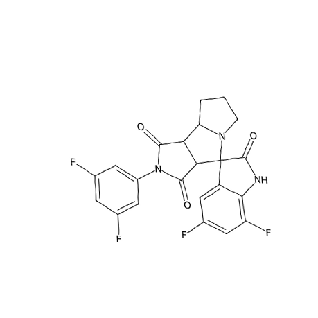 O=C1C2C3CCCN3C3(C(=O)Nc4c(F)cc(F)cc43)C2C(=O)N1c1cc(F)cc(F)c1